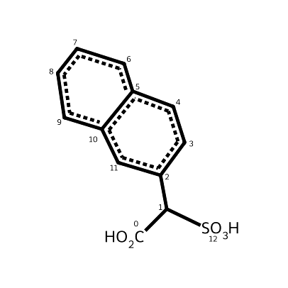 O=C(O)C(c1ccc2ccccc2c1)S(=O)(=O)O